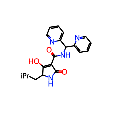 CC(C)CC1NC(=O)C(C(=O)NC(c2ccccn2)c2ccccn2)=C1O